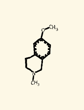 COc1ccc2c(c1)CCN(C)C2